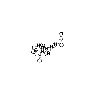 NS(=O)(=O)c1cccc([N+](=O)[O-])c1[C@@H](CC(CSc1ccccc1)Nc1ncnc2cc(N3CCN(Cc4ccccc4-c4ccc(Cl)cc4)CC3)cnc12)N1CCOCC1